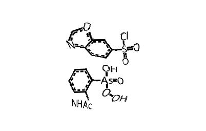 CC(=O)Nc1ccccc1[As](=O)(O)OO.O=S(=O)(Cl)c1ccc2ncoc2c1